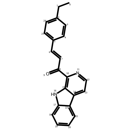 CCc1ccc(/C=C/C(=O)c2nccc3c2[nH]c2ccccc23)cc1